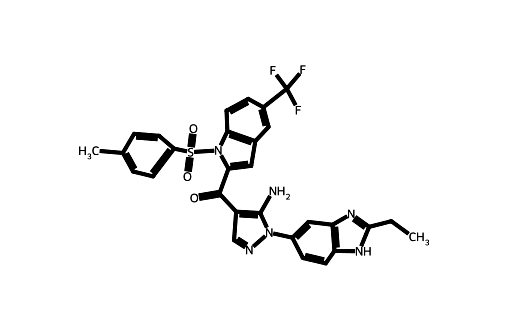 CCc1nc2cc(-n3ncc(C(=O)c4cc5cc(C(F)(F)F)ccc5n4S(=O)(=O)c4ccc(C)cc4)c3N)ccc2[nH]1